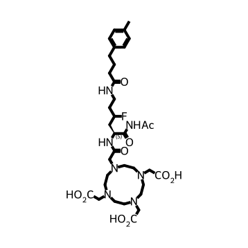 CC(=O)NC(=O)[C@H](CC(F)CCNC(=O)CCCc1ccc(C)cc1)NC(=O)CN1CCN(CC(=O)O)CCN(CC(=O)O)CCN(CC(=O)O)CC1